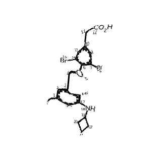 Cc1cc(COc2c(Br)cc(CC(=O)O)cc2Br)cc(NC2CCC2)c1